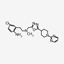 CN(CCc1cc(Cl)ccc1N)Cc1nnc(C2CCN(c3ncccn3)CC2)o1